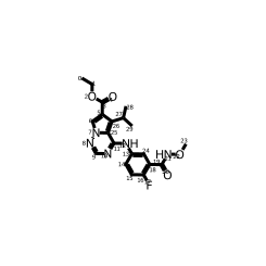 CCOC(=O)c1cn2ncnc(Nc3ccc(F)c(C(=O)NOC)c3)c2c1C(C)C